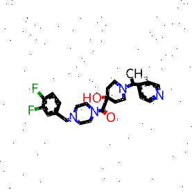 CC(c1ccncc1)N1CCC(O)(C(=O)N2CCN(Cc3ccc(F)c(F)c3)CC2)CC1